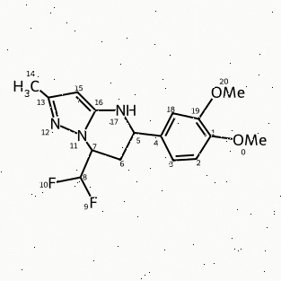 COc1ccc(C2CC(C(F)F)n3nc(C)cc3N2)cc1OC